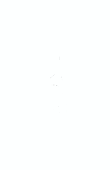 CC(C)c1ccc(OCC2(C(F)(F)F)CC2)c(Cl)c1